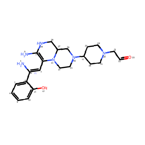 NC1=C(/C=C(\N)c2ccccc2O)N2CCN(C3CCN(CC=O)CC3)CC2CN1